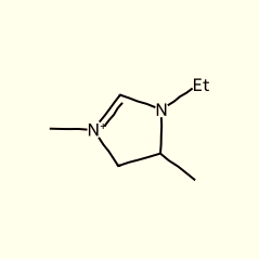 CCN1C=[N+](C)CC1C